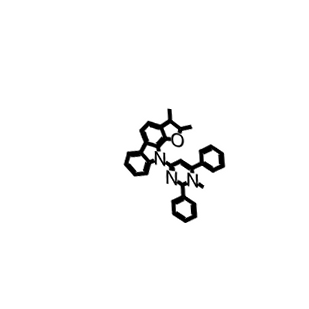 CC1Oc2c(ccc3c4ccccc4n(C4=NC(c5ccccc5)N(C)C(c5ccccc5)=C4)c23)C1C